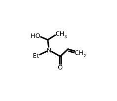 C=CC(=O)N(CC)C(C)O